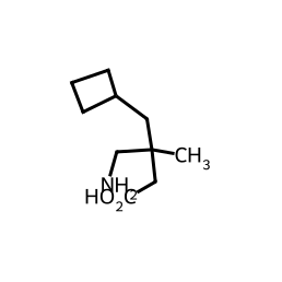 CC(CN)(CC(=O)O)CC1CCC1